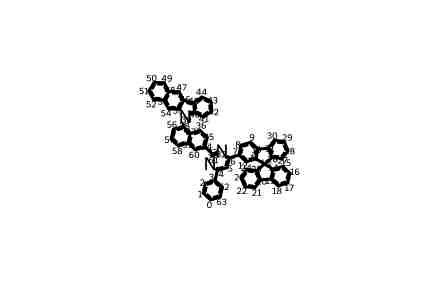 c1ccc(-c2cc(-c3ccc4c(c3)C3(c5ccccc5-c5ccccc53)c3ccccc3-4)nc(-c3ccc4c(-n5c6ccccc6c6cc7ccccc7cc65)cccc4c3)n2)cc1